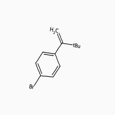 C=C(c1ccc(Br)cc1)C(C)(C)C